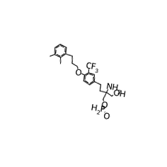 Cc1cccc(CCCOc2ccc(CCC(N)(CO)CO[PH2]=O)cc2C(F)(F)F)c1C